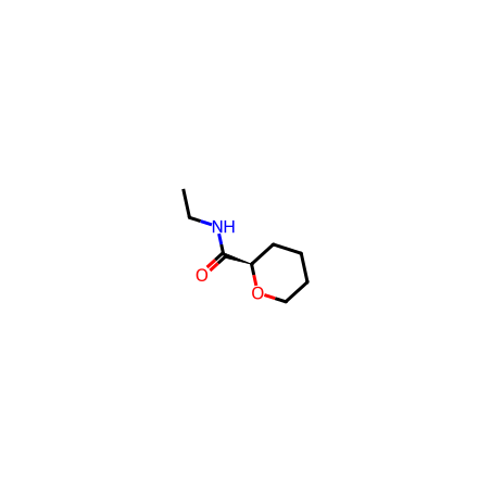 CCNC(=O)[C@H]1CCCCO1